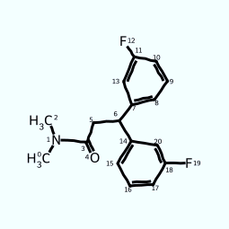 CN(C)C(=O)CC(c1cccc(F)c1)c1cccc(F)c1